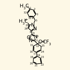 Cc1ccc(Cn2nc(-c3nc(C4(OC(F)(F)F)C=CC(c5ccccc5)=CC4)no3)cc2C)cc1